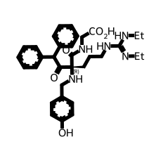 CCN=C(NCC)NCCC[C@](NCc1ccc(O)cc1)(C(=O)NCC(=O)O)C(=O)C(c1ccccc1)c1ccccc1